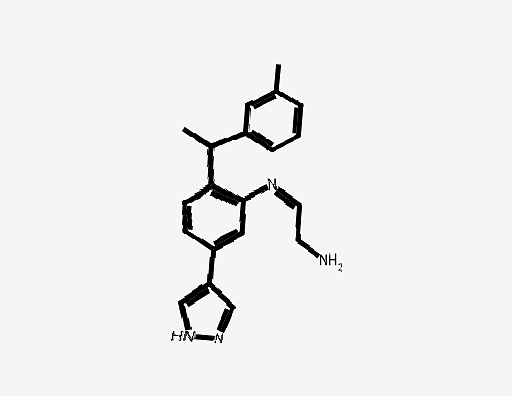 Cc1cccc(C(C)c2ccc(-c3cn[nH]c3)cc2/N=C\CN)c1